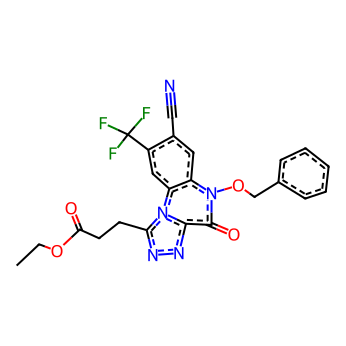 CCOC(=O)CCc1nnc2c(=O)n(OCc3ccccc3)c3cc(C#N)c(C(F)(F)F)cc3n12